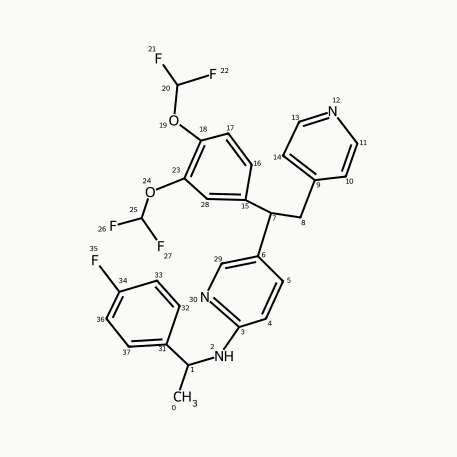 CC(Nc1ccc(C(Cc2ccncc2)c2ccc(OC(F)F)c(OC(F)F)c2)cn1)c1ccc(F)cc1